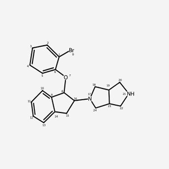 Brc1ccccc1OC1c2ccccc2CC1N1CC2CNCC2C1